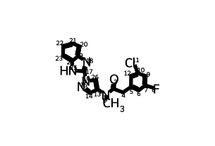 CN(C(=O)Cc1cc(F)cc(Cl)c1)c1cnn(-c2nc3ccccc3[nH]2)c1